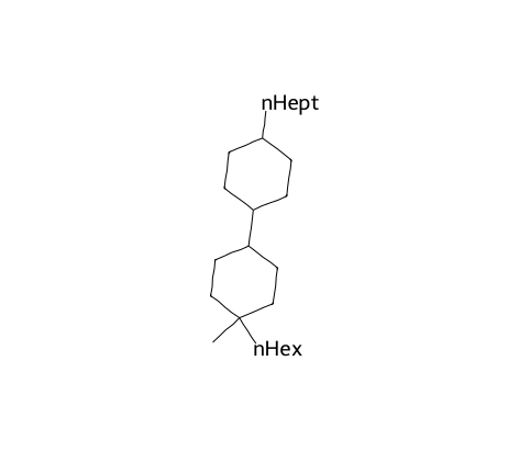 CCCCCCCC1CCC(C2CCC(C)(CCCCCC)CC2)CC1